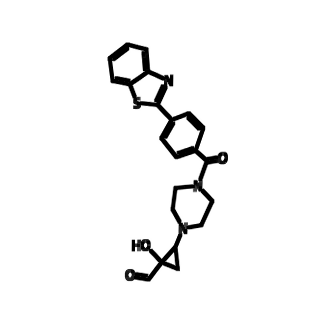 O=CC1(O)CC1N1CCN(C(=O)c2ccc(-c3nc4ccccc4s3)cc2)CC1